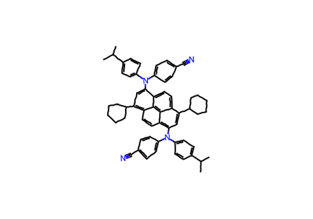 CC(C)c1ccc(N(c2ccc(C#N)cc2)c2cc(C3CCCCC3)c3ccc4c(N(c5ccc(C#N)cc5)c5ccc(C(C)C)cc5)cc(C5CCCCC5)c5ccc2c3c54)cc1